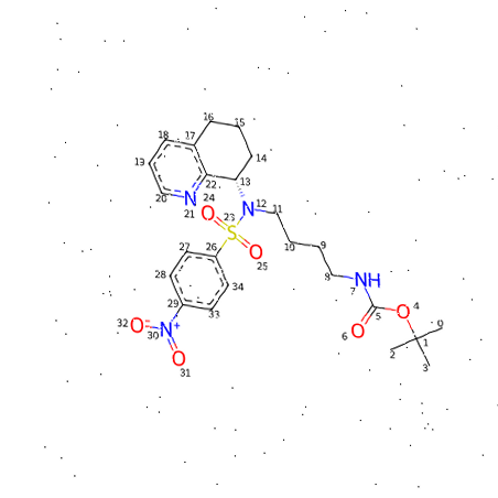 CC(C)(C)OC(=O)NCCCCN([C@H]1CCCc2cccnc21)S(=O)(=O)c1ccc([N+](=O)[O-])cc1